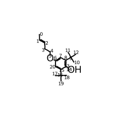 CC=CCCOc1cc(C(C)(C)C)c(O)c(C(C)(C)C)c1